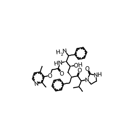 Cc1ccnc(C)c1OCC(=O)N[C@@H](C(N)c1ccccc1)[C@@H](O)C[C@H](Cc1ccccc1)C(=O)C(C(C)C)N1CCNC1=O